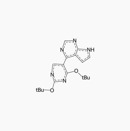 CC(C)(C)Oc1ncc(-c2ncnc3[nH]ccc23)c(OC(C)(C)C)n1